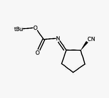 CC(C)(C)OC(=O)/N=C1\CCC[C@@H]1C#N